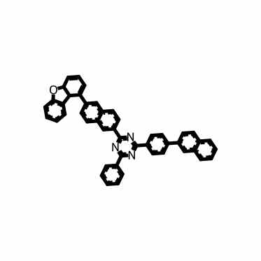 C1=CC2Oc3ccccc3C2C(c2ccc3cc(-c4nc(-c5ccccc5)nc(-c5ccc(-c6ccc7ccccc7c6)cc5)n4)ccc3c2)=C1